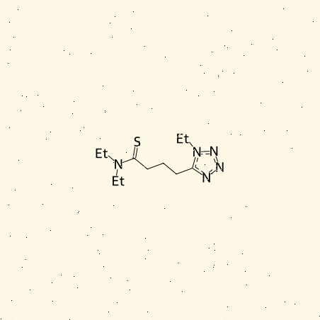 CCN(CC)C(=S)CCCc1nnnn1CC